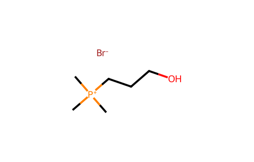 C[P+](C)(C)CCCO.[Br-]